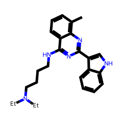 CCN(CC)CCCCNc1nc(-c2c[nH]c3ccccc23)nc2c(C)cccc12